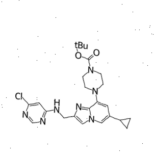 CC(C)(C)OC(=O)N1CCN(c2cc(C3CC3)cn3cc(CNc4cc(Cl)ncn4)nc23)CC1